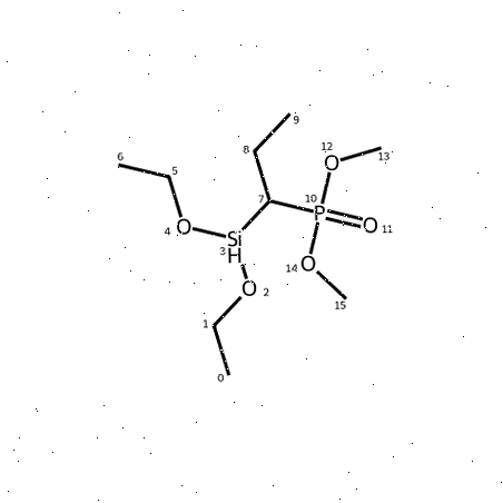 CCO[SiH](OCC)C(CC)P(=O)(OC)OC